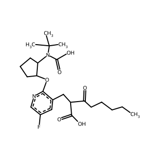 CCCCCC(=O)C(Cc1cc(F)cnc1OC1CCCC1N(C(=O)O)C(C)(C)C)C(=O)O